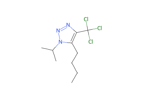 CCCCc1c(C(Cl)(Cl)Cl)nnn1C(C)C